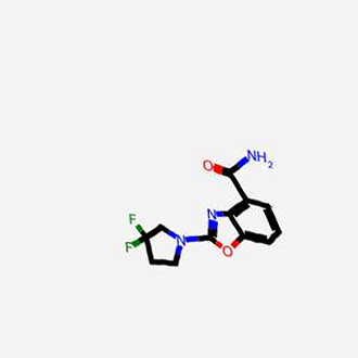 NC(=O)c1[c]ccc2oc(N3CCC(F)(F)C3)nc12